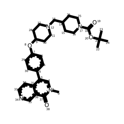 Cn1cc(-c2ccc(OC3CCN(CC4CCN(C(=O)OC(C)(C)C)CC4)CC3)cc2)c2ccncc2c1=O